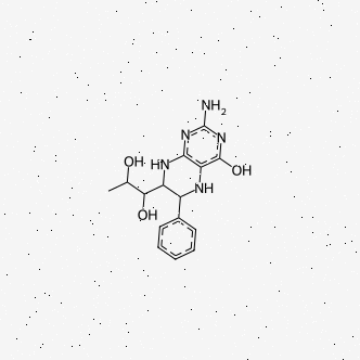 CC(O)C(O)C1Nc2nc(N)nc(O)c2NC1c1ccccc1